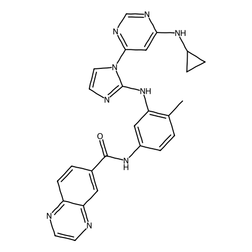 Cc1ccc(NC(=O)c2ccc3nccnc3c2)cc1Nc1nccn1-c1cc(NC2CC2)ncn1